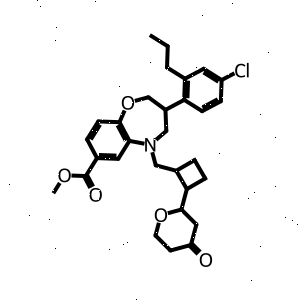 CCCc1cc(Cl)ccc1C1COc2ccc(C(=O)OC)cc2N(CC2CCC2C2CC(=O)CCO2)C1